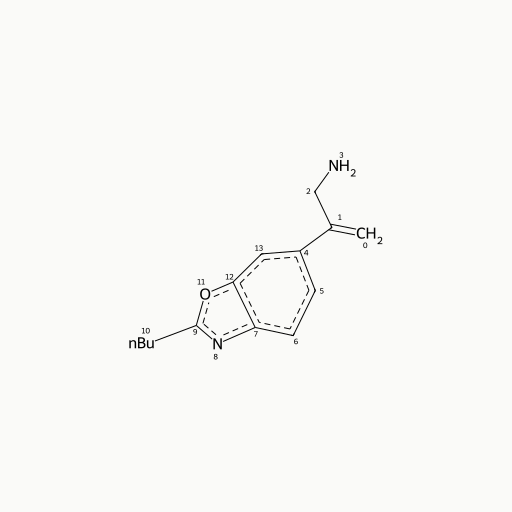 C=C(CN)c1ccc2nc(CCCC)oc2c1